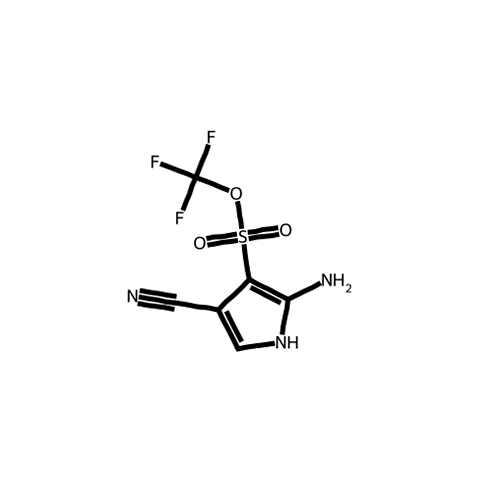 N#Cc1c[nH]c(N)c1S(=O)(=O)OC(F)(F)F